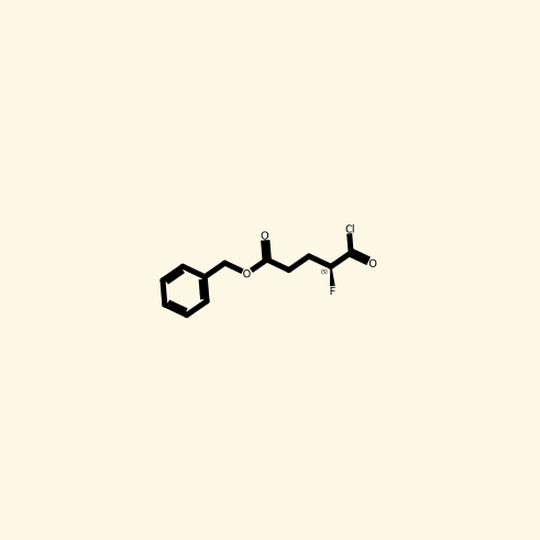 O=C(CC[C@H](F)C(=O)Cl)OCc1ccccc1